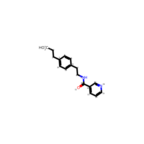 O=C(O)CCc1ccc(CCNC(=O)c2cccnc2)cc1